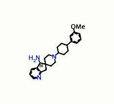 COc1cccc(C2CCC(N3CCC4(CC3)Cc3ncccc3[C@H]4N)CC2)c1